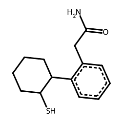 NC(=O)Cc1ccccc1C1CCCCC1S